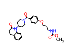 COC(=O)NCCCOc1ccc(C(=O)N2CCC(N3C(=O)CCc4ccccc43)CC2)cc1